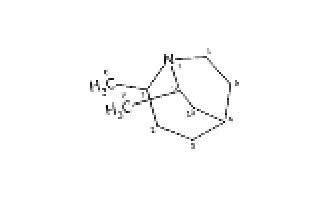 CC1CCC2CCN1C(C)C2